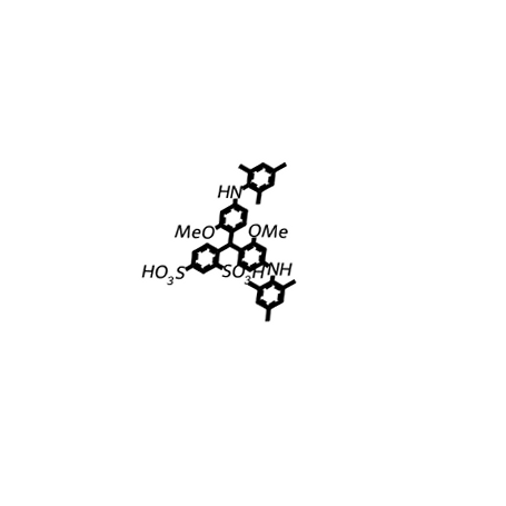 COc1cc(Nc2c(C)cc(C)cc2C)ccc1C(c1ccc(Nc2c(C)cc(C)cc2C)cc1OC)c1ccc(S(=O)(=O)O)cc1S(=O)(=O)O